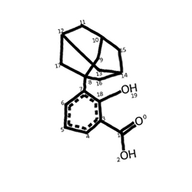 O=C(O)c1cccc(C23CC4CC(CC(C4)C2)C3)c1O